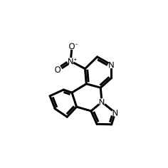 O=[N+]([O-])c1cncc2c1c1ccccc1c1ccnn12